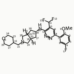 COc1ccc(F)cc1-c1cc(C(F)F)c(N[C@H]2C[C@@H]3CN(CC4CCOCC4)C[C@@H]3C2)nn1